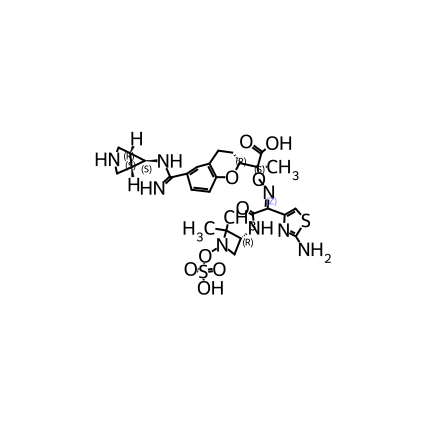 CC1(C)[C@H](NC(=O)/C(=N\O[C@](C)(C(=O)O)[C@H]2CCc3cc(C(=N)N[C@H]4[C@@H]5CNC[C@@H]54)ccc3O2)c2csc(N)n2)CN1OS(=O)(=O)O